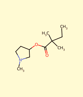 CCC(C)(C)C(=O)OC1CCN(C)C1